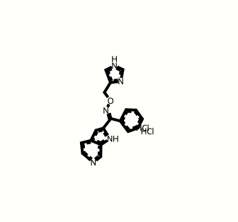 Cl.Cl.c1ccc(C(=NOCc2c[nH]cn2)c2cc3ccncc3[nH]2)cc1